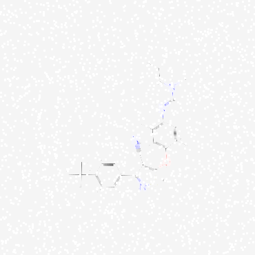 CCCN(C)C=Nc1cc(C)c(Oc2snc(-c3ccc(C(C)(C)C)cc3)c2C#N)cc1C